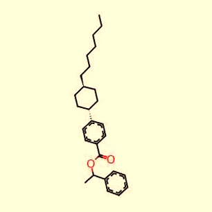 CCCCCCC[C@H]1CC[C@H](c2ccc(C(=O)OC(C)c3ccccc3)cc2)CC1